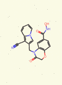 N#Cc1c(CN2C(=O)COc3ccc(C(=O)NO)cc32)cn2ccccc12